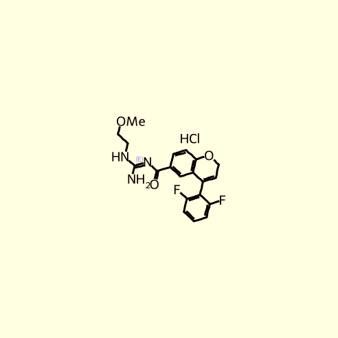 COCCN/C(N)=N/C(=O)c1ccc2c(c1)C(c1c(F)cccc1F)=CCO2.Cl